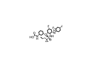 C=CCC1(S(=O)(=O)Nc2c(Nc3ccc(I)cc3F)cc(F)cc2Oc2cccc(NC(=O)O)c2)CC1